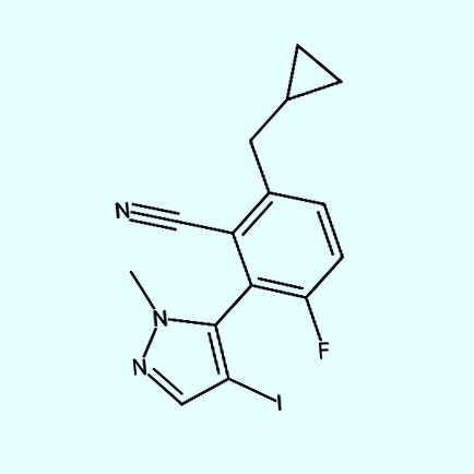 Cn1ncc(I)c1-c1c(F)ccc(CC2CC2)c1C#N